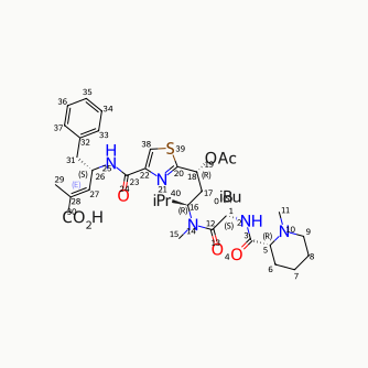 CC[C@H](C)[C@H](NC(=O)[C@H]1CCCCN1C)C(=O)N(C)[C@H](C[C@@H](OC(C)=O)c1nc(C(=O)N[C@H](/C=C(\C)C(=O)O)Cc2ccccc2)cs1)C(C)C